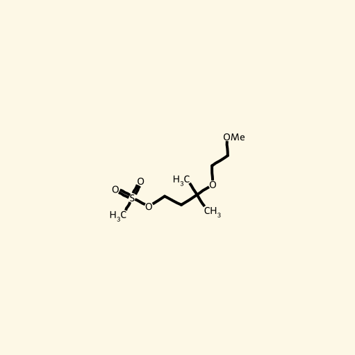 COCCOC(C)(C)CCOS(C)(=O)=O